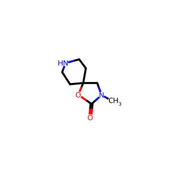 CN1CC2(CCNCC2)OC1=O